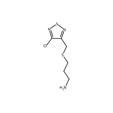 NCCCSCc1nsnc1Cl